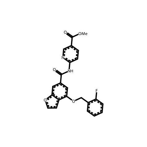 COC(=O)c1ccc(NC(=O)c2cc(OCc3ccccc3F)c3ccoc3c2)nc1